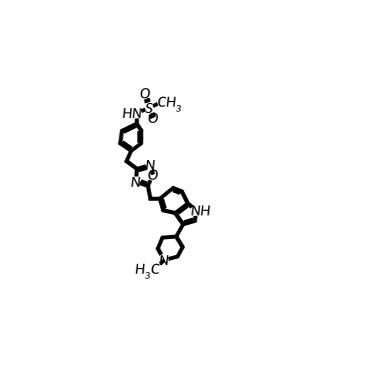 CN1CCC(c2c[nH]c3ccc(Cc4nc(Cc5ccc(NS(C)(=O)=O)cc5)no4)cc23)CC1